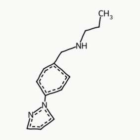 CCCNCc1ccc(-n2cccn2)cc1